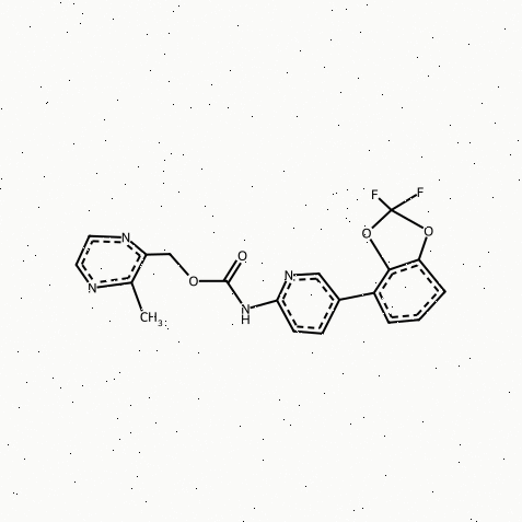 Cc1nccnc1COC(=O)Nc1ccc(-c2cccc3c2OC(F)(F)O3)cn1